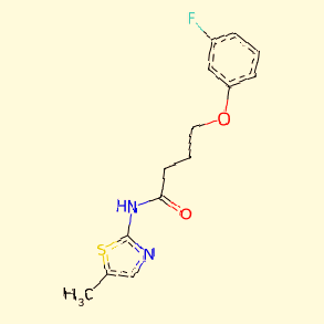 Cc1cnc(NC(=O)CCCOc2cccc(F)c2)s1